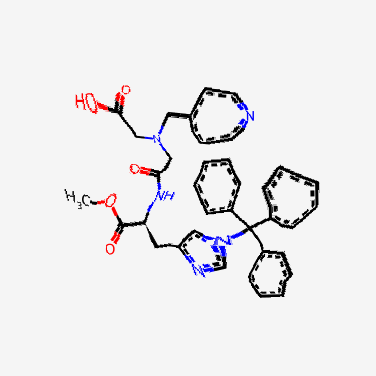 COC(=O)[C@H](Cc1cn(C(c2ccccc2)(c2ccccc2)c2ccccc2)cn1)NC(=O)CN(CC(=O)O)Cc1ccncc1